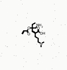 C=CC(=O)OC(C=C(CCCN(C)C)C(=O)O)(CC)CN